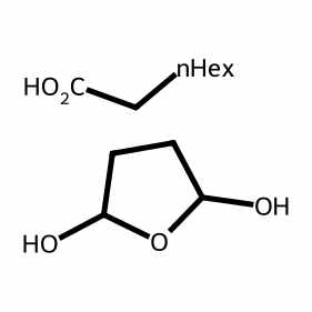 CCCCCCCC(=O)O.OC1CCC(O)O1